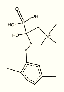 Cc1ccc(C)c(SSC(O)(C[N+](C)(C)C)P(=O)(O)O)c1